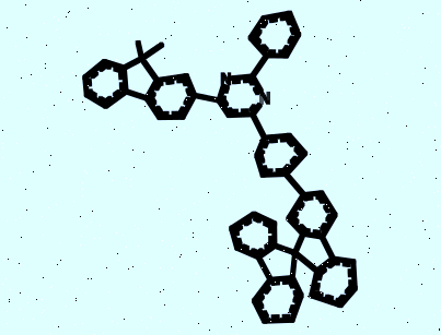 CC1(C)c2ccccc2-c2ccc(-c3cc(-c4ccc(-c5ccc6c(c5)C5(c7ccccc7-c7ccccc75)c5ccccc5-6)cc4)nc(-c4ccccc4)n3)cc21